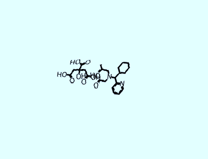 CC(C)CN(CC(=O)O)C(c1ccccn1)C1CCCCC1.O=C(O)CC(O)(CC(=O)O)C(=O)O